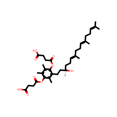 CC(C)=CCC/C(C)=C/CC/C(C)=C/CC[C@@](C)(O)CCc1c(C)c(OC(=O)CCC(=O)O)c(C)c(C)c1OC(=O)CCC(=O)O